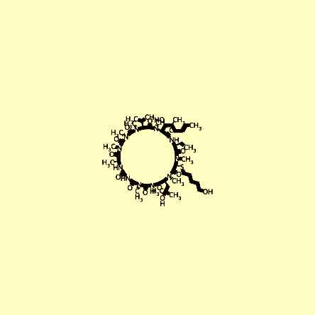 C/C=C/C[C@@H](C)[C@@H](O)[C@H]1C(=O)N[C@@H](CC)C(=O)N(C)[C@H](SCCCCCO)C(=O)N(C)[C@@H](CC(C)(C)O)C(=O)NC(=O)N(C)C(=O)NC(=O)N[C@H](C)C(=O)N(C)C(=O)N(C)C(=O)N(C)[C@@H](C(C)C)C(=O)N1C